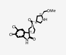 COC[C@@H]1C[C@@H](C(=O)N2CC[C@]3(C2)C(=O)Nc2cc(Cl)c(Cl)cc23)CN1